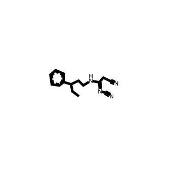 CCC(CCNC(CC#N)=NC#N)c1ccccc1